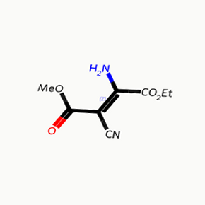 CCOC(=O)/C(N)=C(\C#N)C(=O)OC